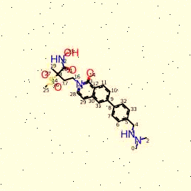 CN(C)NCc1ccc(-c2ccc3c(=O)n(CCC(C)(C(=O)NO)S(C)(=O)=O)ccc3c2)cc1